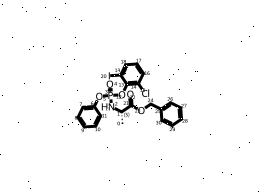 C[C@H](NP(=O)(Oc1ccccc1)Oc1c(Cl)cccc1I)C(=O)OCc1ccccc1